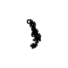 Cn1c(CCCN2CCCC2)nc2ccc(-n3ccc(OCc4ccc(Cl)cc4)cc3=O)cc21